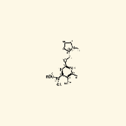 CCCCN(CC)c1nc(OC[C@@H]2CCCN2C)nc(C)c1CC